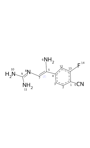 N#Cc1ccc(/C(N)=C/N=C(N)N)cc1F